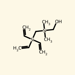 C=C[Si](C=C)(C=C)C[Si](C)(C)CO